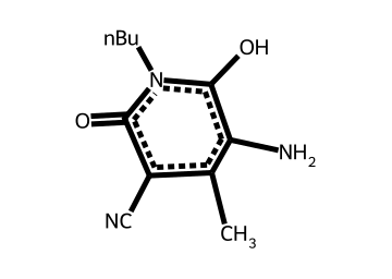 CCCCn1c(O)c(N)c(C)c(C#N)c1=O